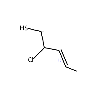 C/C=C/C(Cl)[CH]S